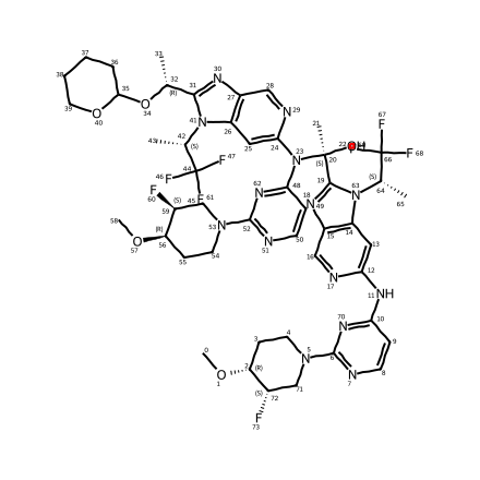 CO[C@@H]1CCN(c2nccc(Nc3cc4c(cn3)nc([C@](C)(O)N(c3cc5c(cn3)nc([C@@H](C)OC3CCCCO3)n5[C@@H](C)C(F)(F)F)c3ccnc(N5CC[C@@H](OC)[C@@H](F)C5)n3)n4[C@@H](C)C(F)(F)F)n2)C[C@@H]1F